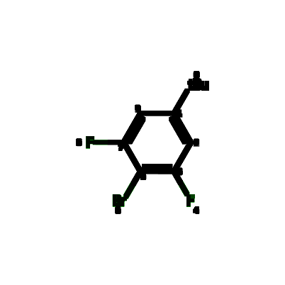 CC(C)(C)c1cc(F)c(Br)c(F)c1